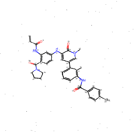 C=CC(=O)Nc1cc(Nc2cc(-c3cccc(NC(=O)c4ccc(C(C)(C)C)cc4)c3C)cn(C)c2=O)ccc1C(=O)N1CCCC1